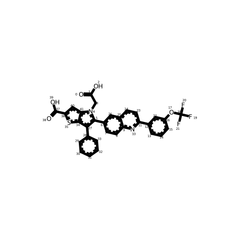 O=C(O)Cn1c(-c2ccc3nc(-c4cccc(OC(F)(F)F)c4)ccc3c2)c(-c2ccccc2)c2sc(C(=O)O)cc21